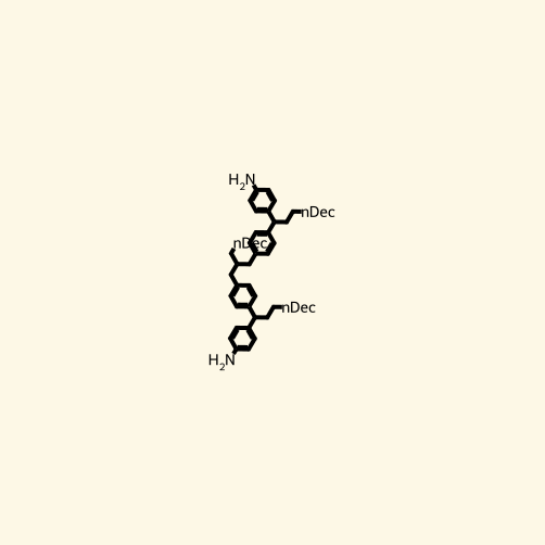 CCCCCCCCCCCCC(c1ccc(N)cc1)c1ccc(CC(CCCCCCCCCCC)Cc2ccc(C(CCCCCCCCCCCC)c3ccc(N)cc3)cc2)cc1